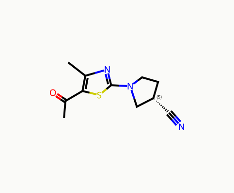 CC(=O)c1sc(N2CC[C@H](C#N)C2)nc1C